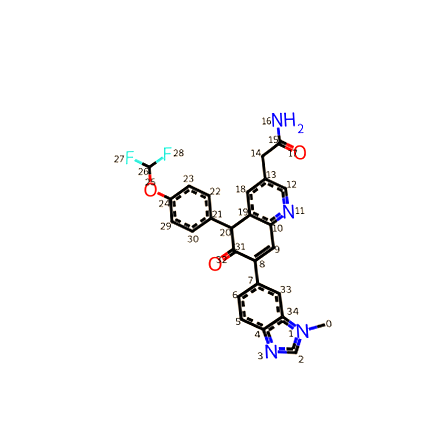 Cn1cnc2ccc(C3=Cc4ncc(CC(N)=O)cc4C(c4ccc(OC(F)F)cc4)C3=O)cc21